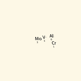 [Al].[Cr].[Mo].[V]